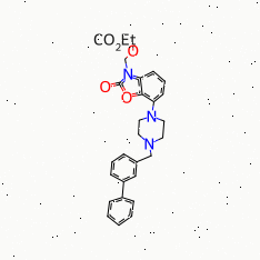 CCOC(=O)OCn1c(=O)oc2c(N3CCN(Cc4cccc(-c5ccccc5)c4)CC3)cccc21